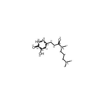 CN(C)CCCN(C)C(=O)CCc1cc(O)c(=O)[nH]n1